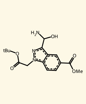 COC(=O)c1ccc2c(c1)c(C(N)O)nn2CC(=O)OC(C)(C)C